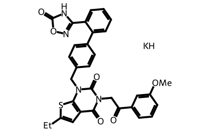 CCc1cc2c(=O)n(CC(=O)c3cccc(OC)c3)c(=O)n(Cc3ccc(-c4ccccc4-c4noc(=O)[nH]4)cc3)c2s1.[KH]